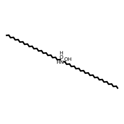 CCCCCCCCCCCCCCCCCCCCCCCC(O)NC(O)CCCCCCCCCCCCCCCCCCCCCCC